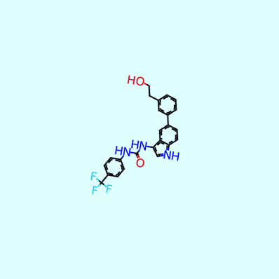 O=C(Nc1ccc(C(F)(F)F)cc1)Nc1c[nH]c2ccc(-c3cccc(CCO)c3)cc12